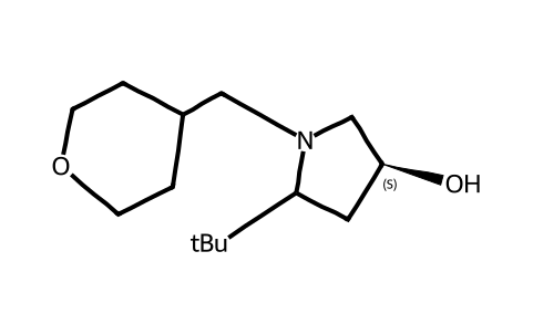 CC(C)(C)C1C[C@H](O)CN1CC1CCOCC1